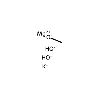 C[O-].[K+].[Mg+2].[OH-].[OH-]